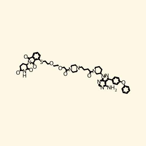 Nc1ncnc2c1c(-c1ccc(Oc3ccccc3)cc1)nn2C1CCCN(C(=O)CCCN2CCN(C(=O)COCCOCCSc3cccc4c3C(=O)N(C3CCC(=O)NC3=O)C4=O)CC2)C1